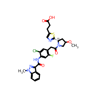 COC1C[C@@H](c2ncc(CCC(=O)O)s2)N(C(=O)Cc2cc(Cl)c(NC(=O)c3nn(C)c4ccccc34)cc2F)C1